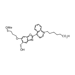 COSCCCOc1cc2oc(-c3cc[n+](CCCCCC(=O)O)c4ccccc34)nc2cc1SO